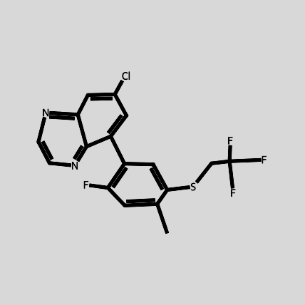 Cc1cc(F)c(-c2cc(Cl)cc3nccnc23)cc1SCC(F)(F)F